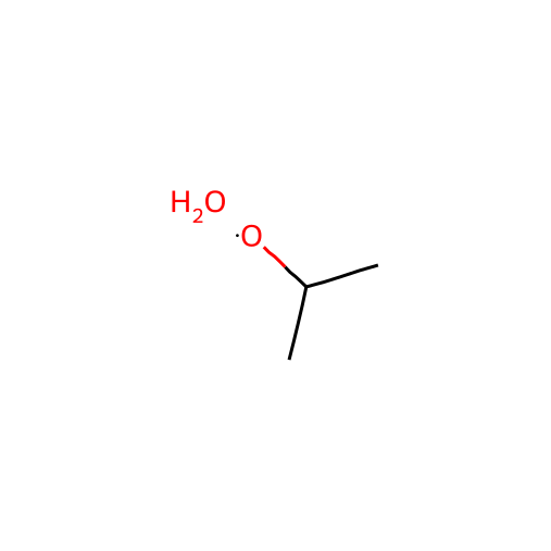 CC(C)[O].O